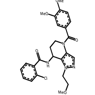 COCCn1ncc2c1C(NC(=O)c1ccccc1Cl)CCN2C(=O)c1ccc(OC)c(OC)c1